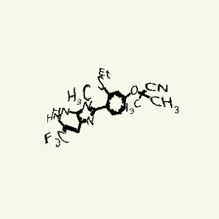 CCSc1cc(OC(C)(C)C#N)ccc1-c1nc2c(n1C)NNC(C(F)(F)F)=C2